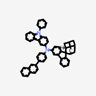 c1ccc(-n2c3ccccc3c3cc(N(c4ccc(-c5ccc6ccccc6c5)cc4)c4ccc5c(c4)-c4ccccc4C54C5CC6CC7C[C@@H]4C67C5)ccc32)cc1